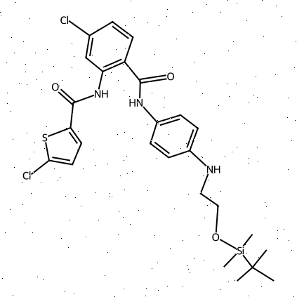 CC(C)(C)[Si](C)(C)OCCNc1ccc(NC(=O)c2ccc(Cl)cc2NC(=O)c2ccc(Cl)s2)cc1